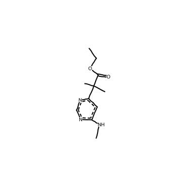 CCOC(=O)C(C)(C)c1cc(NC)ncn1